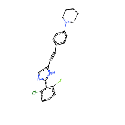 Fc1cccc(Cl)c1-c1ncc(C#Cc2ccc(N3CCCCC3)cc2)[nH]1